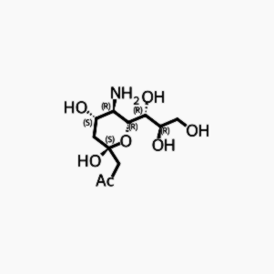 CC(=O)C[C@]1(O)C[C@H](O)[C@@H](N)[C@H]([C@H](O)[C@H](O)CO)O1